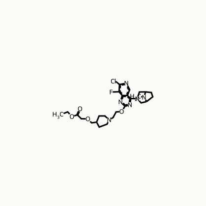 CCOC(=O)COCC1CCN(CCOc2nc(N3CC4CCC(C3)N4C)c3cnc(Cl)c(F)c3n2)CC1